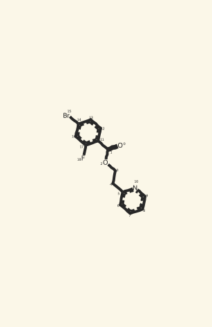 O=C(OCCc1ccccn1)c1ccc(Br)cc1F